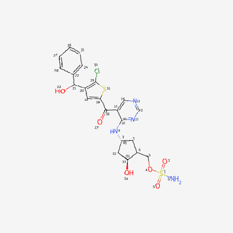 NS(=O)(=O)OCC1C[C@@H](Nc2ncncc2C(=O)c2cc(C(O)c3ccccc3)c(Cl)s2)C[C@@H]1O